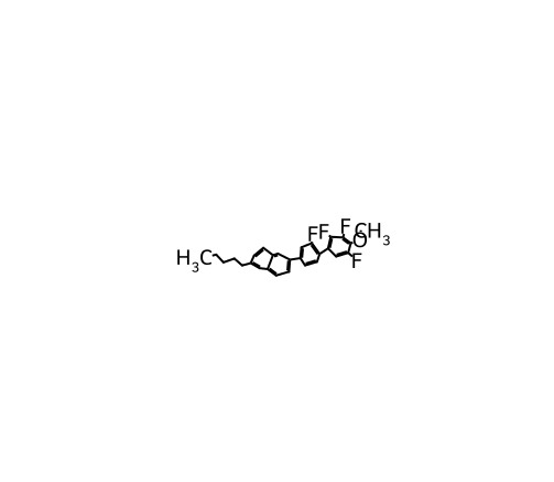 CCCCCc1ccc2cc(-c3ccc(-c4cc(F)c(OC)c(F)c4F)c(F)c3)ccc2c1